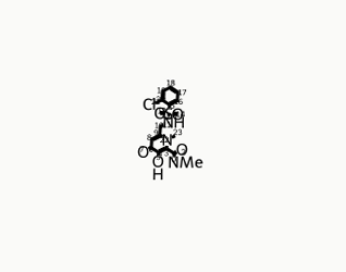 CNC(=O)c1c(O)c(=O)cc(CNS(=O)(=O)c2ccccc2Cl)n1C